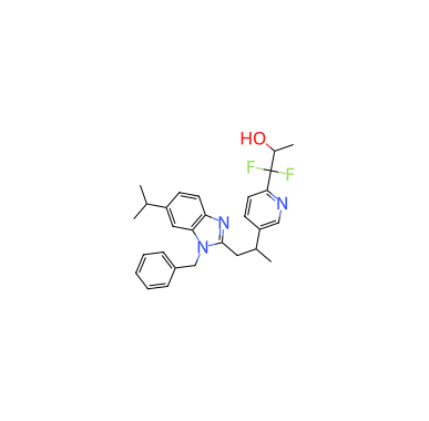 CC(C)c1ccc2nc(CC(C)c3ccc(C(F)(F)C(C)O)nc3)n(Cc3ccccc3)c2c1